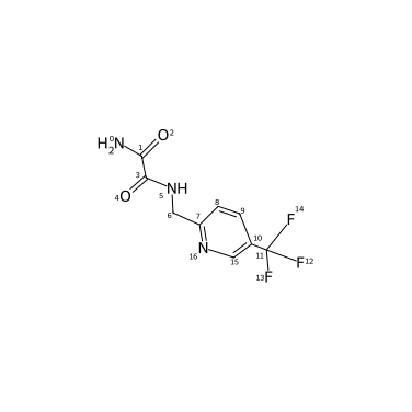 NC(=O)C(=O)NCc1ccc(C(F)(F)F)cn1